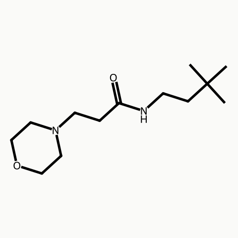 CC(C)(C)CCNC(=O)CCN1CCOCC1